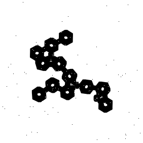 c1ccc(-c2cccc(-c3cccc4c3c3cc(-c5ccc6c(c5)c5ccccc5n6-c5cc(-c6ccccc6)ccc5-c5ccccc5)ccc3n4-c3ccc(-c4cccc5c4oc4ccccc45)cc3)c2)cc1